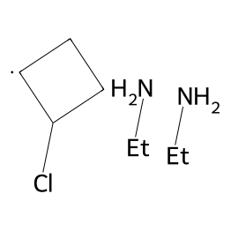 CCN.CCN.ClC1[CH]CC1